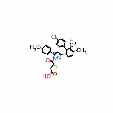 Cc1ccc([C@H]2CC(c3ccc(C)c(C)c3-c3ccc(Cl)cc3)=NN2C(=O)C(F)CC(=O)O)cc1